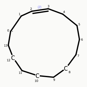 [CH]1C/C=C\CCCCCCCCCC1